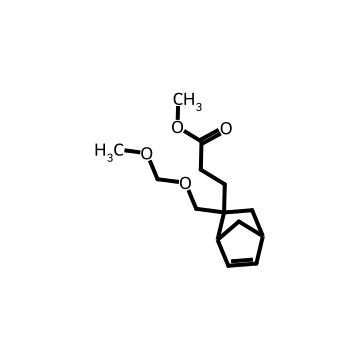 COCOCC1(CCC(=O)OC)CC2C=CC1C2